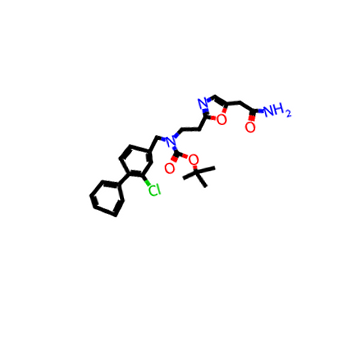 CC(C)(C)OC(=O)N(CCc1ncc(CC(N)=O)o1)Cc1ccc(-c2ccccc2)c(Cl)c1